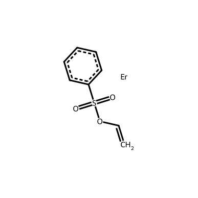 C=COS(=O)(=O)c1ccccc1.[Er]